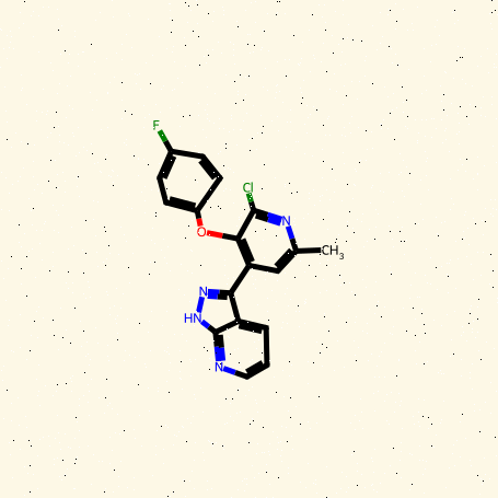 Cc1cc(-c2n[nH]c3ncccc23)c(Oc2ccc(F)cc2)c(Cl)n1